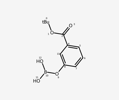 CC(C)(C)OC(=O)c1cccc(OB(O)O)c1